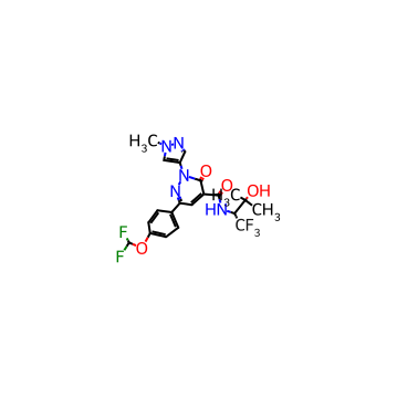 Cn1cc(-n2nc(-c3ccc(OC(F)F)cc3)cc(C(=O)NC(C(C)(C)O)C(F)(F)F)c2=O)cn1